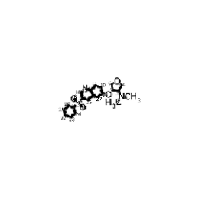 CN(C)C1COCC1Oc1ccc2ncc(S(=O)(=O)c3ccccc3)cc2c1